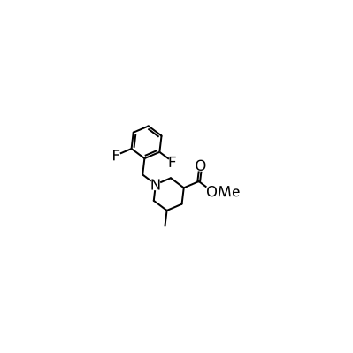 COC(=O)C1CC(C)CN(Cc2c(F)cccc2F)C1